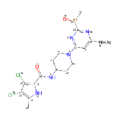 CC(=O)Nc1cc(N2CCC(NC(=O)c3[nH]c(C)c(Cl)c3Cl)CC2)nc([S+](C)[O-])n1